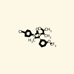 CC([C@H](C)Cl)N1C(=O)N(c2ccc(Cl)cc2)[C@H](C)[C@H]1c1cccc(OC(F)(F)F)c1